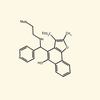 CCOC(=O)c1c(C)oc2c1c(C(NCCNC)c1ccncc1)c(O)c1ccccc12